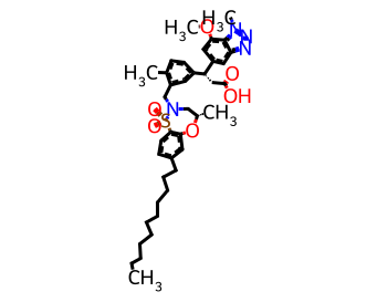 CCCCCCCCCCCc1ccc2c(c1)O[C@@H](C)CN(Cc1cc([C@@H](CC(=O)O)c3cc(OC)c4c(c3)nnn4C)ccc1C)S2(=O)=O